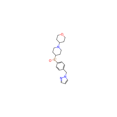 [O-][S+](c1ccc(Cn2cccn2)cc1)C1CCN(C2CCOCC2)CC1